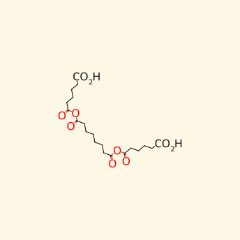 O=C(O)CCCCC(=O)OC(=O)CCCCCCC(=O)OC(=O)CCCCC(=O)O